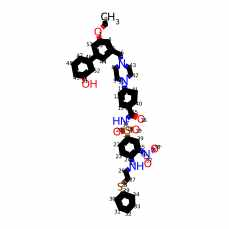 CCOc1cc(CN2CCN(c3ccc(C(=O)NS(=O)(=O)c4ccc(NCCSc5ccccc5)c([N+](=O)[O-])c4)cc3)CC2)cc(-c2cccc(O)c2)c1